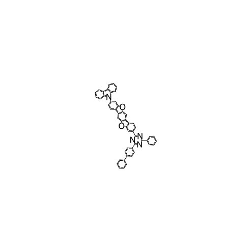 c1ccc(-c2ccc(-c3nc(-c4ccccc4)nc(-c4ccc5c(c4)oc4cc6c(cc45)oc4cc(-n5c7ccccc7c7ccccc75)ccc46)n3)cc2)cc1